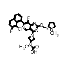 CN(C(=O)O)C1CN(c2nc(OC[C@@H]3CCCN3C)nc3c(F)c(-c4cccc5ccc(F)c(Cl)c45)ncc23)C1